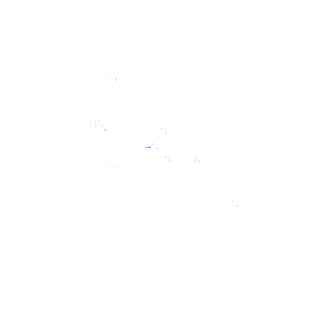 CC(C)(C)OC(=O)N[C@H]1C[C@@H](n2ncc(N3CCC(O)(C(=O)NCc4cccc(F)c4F)C3=O)n2)CO[C@@H]1c1cc(F)ccc1F